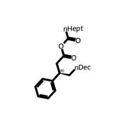 CCCCCCCCCCC[C@H](CC(=O)OC(=O)CCCCCCC)c1ccccc1